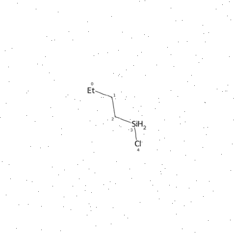 [CH2]CCC[SiH2]Cl